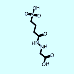 O=C(O)CNNC(=O)CCCS(=O)(=O)O